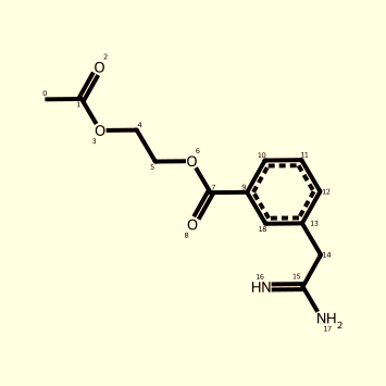 CC(=O)OCCOC(=O)c1cccc([CH]C(=N)N)c1